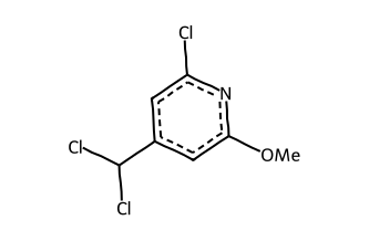 COc1cc(C(Cl)Cl)cc(Cl)n1